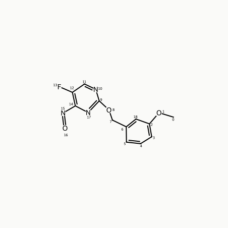 COc1cccc(COc2ncc(F)c(N=O)n2)c1